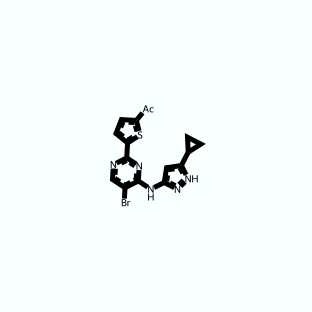 CC(=O)c1ccc(-c2ncc(Br)c(Nc3cc(C4CC4)[nH]n3)n2)s1